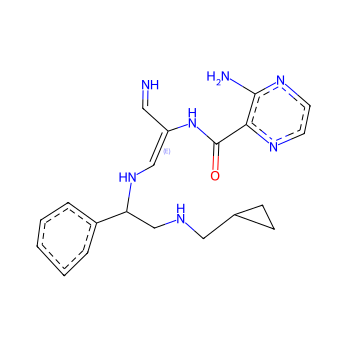 N=C/C(=C\NC(CNCC1CC1)c1ccccc1)NC(=O)c1nccnc1N